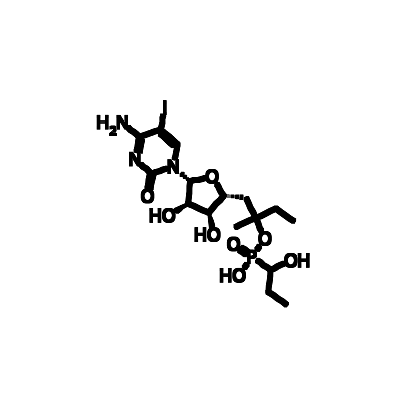 CCC(O)P(=O)(O)OC(C)(CC)C[C@H]1O[C@@H](n2cc(I)c(N)nc2=O)[C@H](O)[C@@H]1O